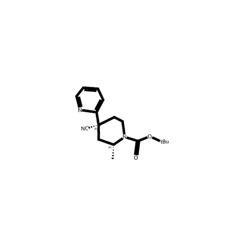 C[C@@H]1C[C@@](C#N)(c2ccccn2)CCN1C(=O)OC(C)(C)C